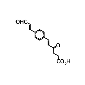 O=[C]C=Cc1ccc(C=CC(=O)CCC(=O)O)cc1